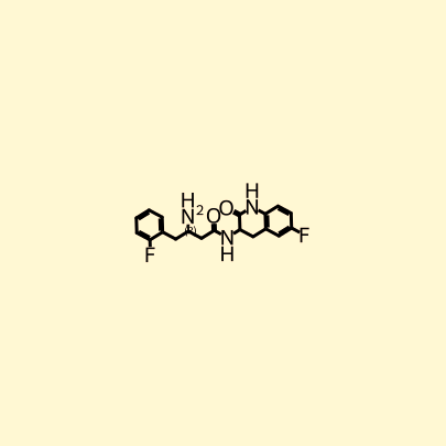 N[C@@H](CC(=O)NC1Cc2cc(F)ccc2NC1=O)Cc1ccccc1F